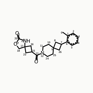 Cc1ccccc1C1CC2(CCN(C(=O)C3CC4(COC(=O)N4)C3)CC2)C1